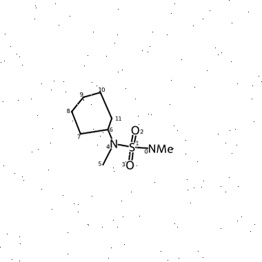 CNS(=O)(=O)N(C)C1CC[CH]CC1